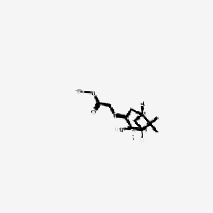 CC(C)(C)OC(=O)C/N=C1\C[C@H]2C[C@H](C2(C)C)[C@@]1(C)O